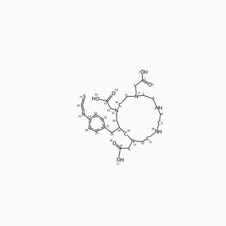 O=C(O)CN1CCNCCNCCN(CC(=O)O)CC(Cc2ccc(N=C=S)cc2)CN(CC(=O)O)CC1